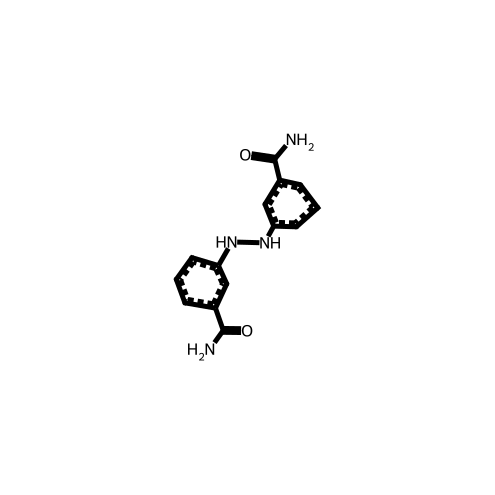 NC(=O)c1cccc(NNc2cccc(C(N)=O)c2)c1